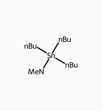 CCC[CH2][Sn]([CH2]CCC)([CH2]CCC)[NH]C